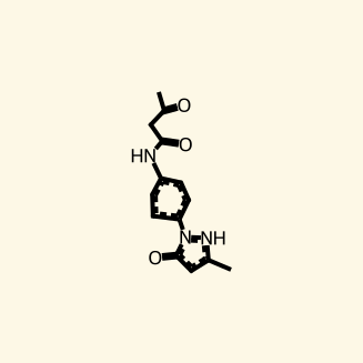 CC(=O)CC(=O)Nc1ccc(-n2[nH]c(C)cc2=O)cc1